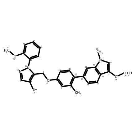 Cc1cc(OCc2c(C(C)C)cnn2-c2ccccc2OC(F)(F)F)ccc1-c1ccc2c(OC(=O)O)cn(C)c2c1